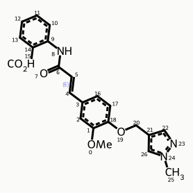 COc1cc(/C=C/C(=O)Nc2ccccc2C(=O)O)ccc1OCc1cnn(C)c1